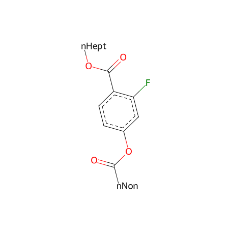 CCCCCCCCCC(=O)Oc1ccc(C(=O)OCCCCCCC)c(F)c1